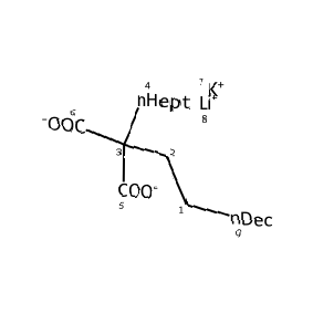 CCCCCCCCCCCCC(CCCCCCC)(C(=O)[O-])C(=O)[O-].[K+].[Li+]